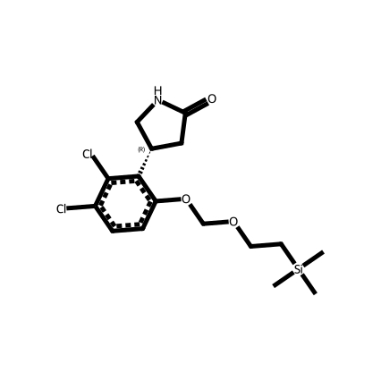 C[Si](C)(C)CCOCOc1ccc(Cl)c(Cl)c1[C@@H]1CNC(=O)C1